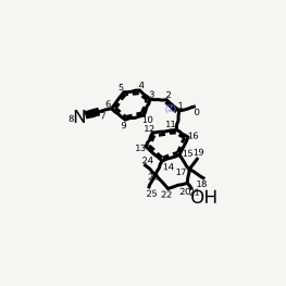 C/C(=C/c1ccc(C#N)cc1)c1ccc2c(c1)C(C)(C)C(O)CC2(C)C